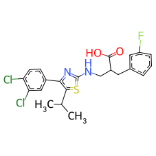 CC(C)c1sc(NCC(Cc2cccc(F)c2)C(=O)O)nc1-c1ccc(Cl)c(Cl)c1